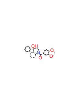 O=C(c1ccc2c(c1)OCCO2)N1CCC(O)(c2ccccc2)C2CCCCC21